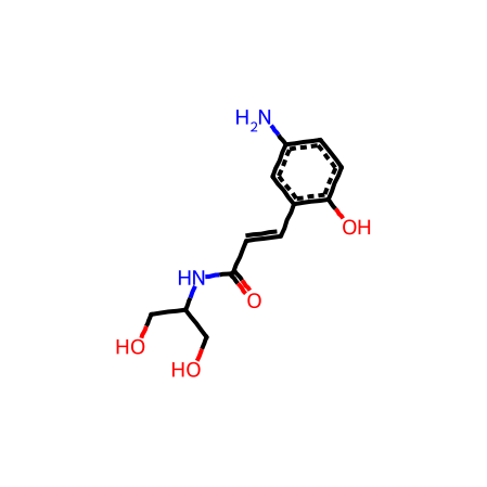 Nc1ccc(O)c(C=CC(=O)NC(CO)CO)c1